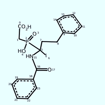 O=C(O)CP(=O)(O)C(I)(CCc1ccccc1)NC(=O)c1ccccc1